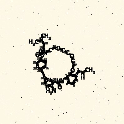 CNCc1cccc2c1OCCOCCOCCN(CCN(C)C)S(=O)(=O)c1ccc(cc1)-c1cnc(N)c(n1)C(=O)N2